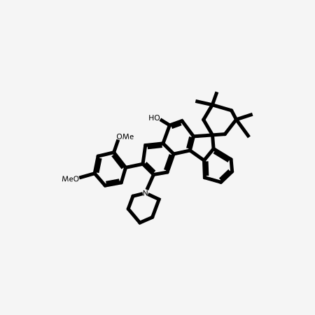 COc1ccc(-c2cc3c(O)cc4c(c3cc2N2CCCCC2)-c2ccccc2C42CC(C)(C)CC(C)(C)C2)c(OC)c1